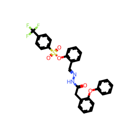 O=C(Cc1ccccc1Oc1ccccc1)N/N=C/c1ccccc1OS(=O)(=O)c1ccc(C(F)(F)F)cc1